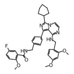 COc1ccc(CNc2nccn3c(C4CCCCC4)nc(-c4ccc(CNC(=O)c5cc(F)ccc5OC)cc4)c23)c(OC)c1